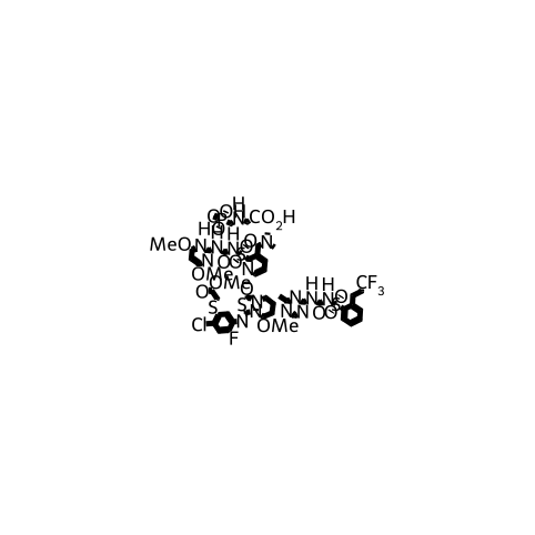 COC(=O)CSc1cc(/N=c2\sc(=O)n3n2CCCC3)c(F)cc1Cl.COc1cc(OC)nc(NC(=O)NS(=O)(=O)c2ncccc2C(=O)N(C)C)n1.COc1nc(C)nc(NC(=O)NS(=O)(=O)c2ccccc2CCC(F)(F)F)n1.O=C(O)CNCP(=O)(O)O